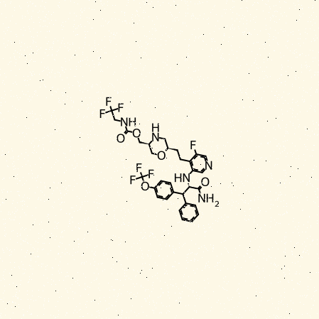 NC(=O)[C@@H](Nc1cncc(F)c1CC[C@@H]1CN[C@H](COC(=O)NCC(F)(F)F)CO1)C(c1ccccc1)c1ccc(OC(F)(F)F)cc1